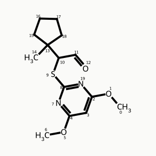 COc1cc(OC)nc(SC(C=O)C2(C)CCCC2)n1